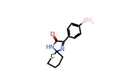 Bc1ccc(C2=NC3(CCCCC3)NC2=O)cc1